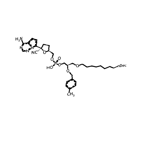 CCCCCCCCCCCCCCCCCCOC[C@H](COP(=O)(O)OC[C@@H]1CC[C@](C#N)(c2ccc3c(N)ncnn23)O1)OCc1ccc(C)cc1